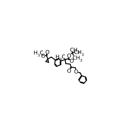 COC(=O)C1(Cc2cccc(C(C)(CCC(=O)COCc3ccccc3)C(=O)OC(C)(C)C)c2)CC1